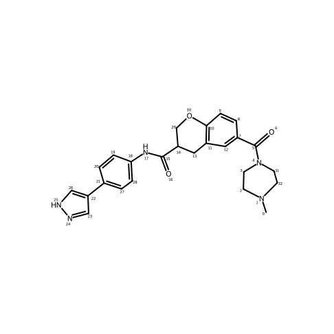 CN1CCN(C(=O)c2ccc3c(c2)CC(C(=O)Nc2ccc(-c4cn[nH]c4)cc2)CO3)CC1